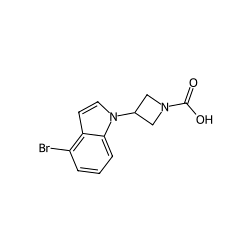 O=C(O)N1CC(n2ccc3c(Br)cccc32)C1